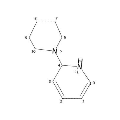 [C]1=CC=CC(N2CCCCC2)N1